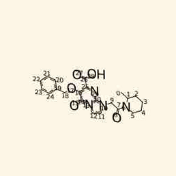 CC1CCCCN1C(=O)Cn1ccn2c(=O)c(OCc3ccccc3)c(C(=O)O)nc12